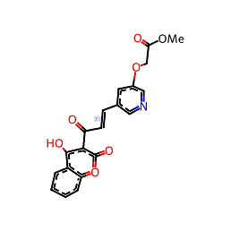 COC(=O)COc1cncc(/C=C/C(=O)c2c(O)c3ccccc3oc2=O)c1